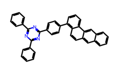 c1ccc(-c2nc(-c3ccccc3)nc(-c3ccc(-c4cccc5c4ccc4cc6ccccc6cc45)cc3)n2)cc1